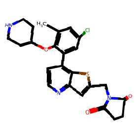 Cc1cc(Cl)cc(-c2ccnc3cc(CN4C(=O)CCC4=O)sc23)c1OC1CCNCC1